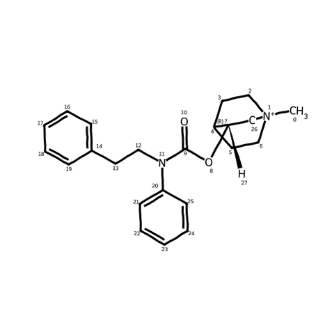 C[N+]12CCC(CC1)[C@@H](OC(=O)N(CCc1ccccc1)c1ccccc1)C2